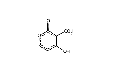 O=C(O)c1c(O)ccoc1=O